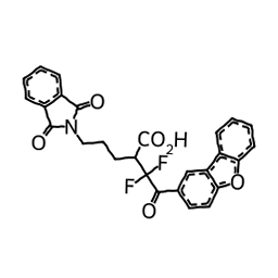 O=C(O)C(CCCN1C(=O)c2ccccc2C1=O)C(F)(F)C(=O)c1ccc2oc3ccccc3c2c1